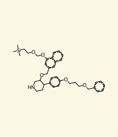 C[Si](C)(C)CCOCOc1cc(COC2CNCCC2c2ccc(OCCCOCc3ccccc3)cc2)cc2ccccc12